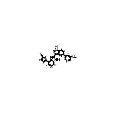 COc1cncc(-c2ccc3[nH]nc(-c4nc5c(-c6ccc(C)s6)cccc5[nH]4)c3n2)c1